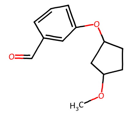 COC1CCC(Oc2cccc(C=O)c2)C1